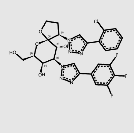 OC[C@H]1O[C@]2(OCC[C@H]2n2cc(-c3ccccc3Cl)nn2)[C@H](O)[C@@H](n2cc(-c3cc(F)c(F)c(F)c3)nn2)[C@H]1O